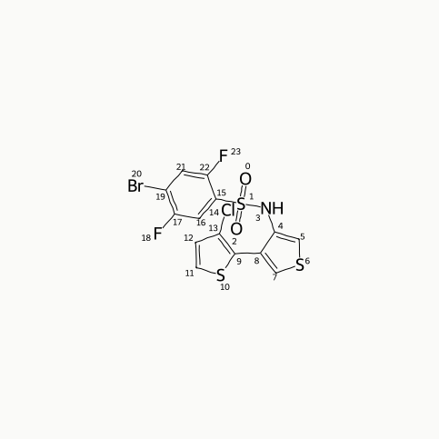 O=S(=O)(Nc1cscc1-c1sccc1Cl)c1cc(F)c(Br)cc1F